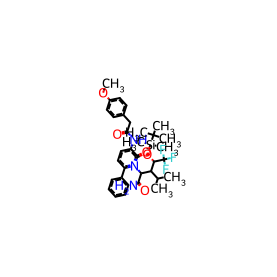 COc1ccc(CC(=O)Nc2ccc(-c3ccccc3)n(C(C(N)=O)C(C(C)C)C(O[Si](C)(C)C(C)(C)C)C(F)(F)F)c2=O)cc1